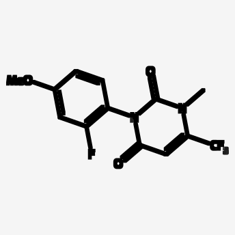 COc1ccc(-n2c(=O)cc(C(F)(F)F)n(C)c2=O)c(F)c1